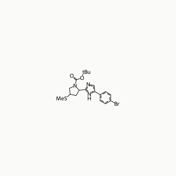 CSC1CC(c2ncc(-c3ccc(Br)cc3)[nH]2)N(C(=O)OC(C)(C)C)C1